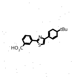 CC(C)(C)C1C=CC(c2csc(-c3cccc(C(=O)O)c3)n2)=CC1